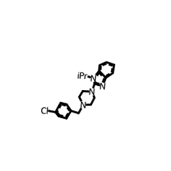 CC(C)n1c(N2CCN(Cc3ccc(Cl)cc3)CC2)nc2ccccc21